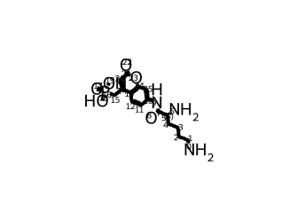 NCCCC[C@H](N)C(=O)Nc1ccc2c(CP(=O)(O)O)cc(=O)oc2c1